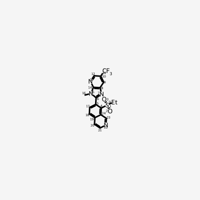 CCS(=O)(=O)c1c(-c2nc3cc(C(F)(F)F)cnc3n2C)ccc2ccncc12